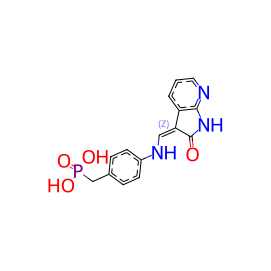 O=C1Nc2ncccc2/C1=C/Nc1ccc(CP(=O)(O)O)cc1